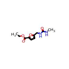 CCOC(=O)c1ccc(CNC(=O)NC)o1